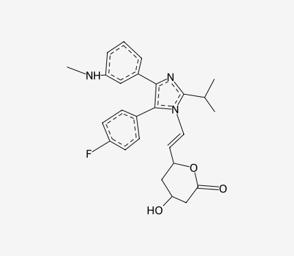 CNc1cccc(-c2nc(C(C)C)n(C=CC3CC(O)CC(=O)O3)c2-c2ccc(F)cc2)c1